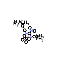 CC(C)(C)c1ccc(-c2ccc(N3c4cc(N(c5ccccc5)c5ccccc5)cc5c4B4c6c3cccc6[Si](c3ccccc3)(c3ccccc3)c3cccc(c34)N5c3ccc(C(C)(C)C)cc3)cc2)cc1